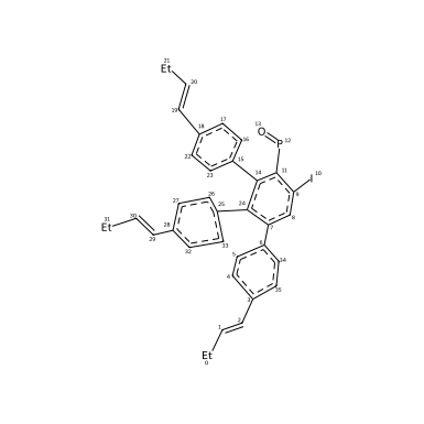 CCC=Cc1ccc(-c2cc(I)c(P=O)c(-c3ccc(C=CCC)cc3)c2-c2ccc(C=CCC)cc2)cc1